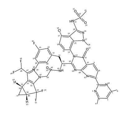 Cc1cc(C)nc(-c2ccc3c(=O)n(-c4ccc(Cl)c5c(NS(C)(=O)=O)nn(C)c45)c([C@H](Cc4cc(F)cc(F)c4)NC(=O)Cn4nc(C(F)F)c5c4C(F)(F)[C@@H]4C[C@H]54)nc3n2)n1